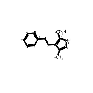 Cc1c[nH]c(C(=O)O)c1CCc1ccccc1